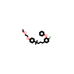 CCOCCOc1ccc(C(C)(C)CCCc2ccc(F)c(Oc3ccccc3)c2)cc1